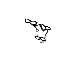 [Al+3].[O-]c1cccc2ccccc12.[O-]c1cccc2ccccc12.[O-]c1cccc2ccccc12